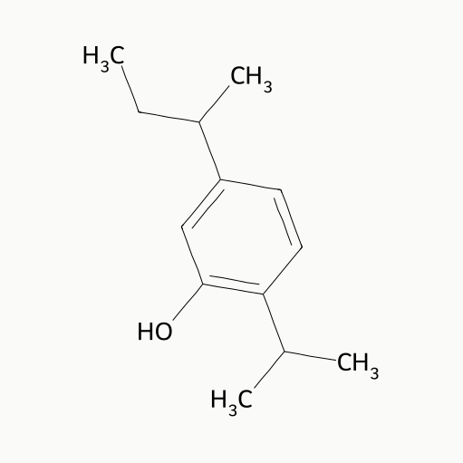 CCC(C)c1ccc(C(C)C)c(O)c1